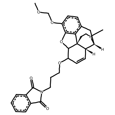 COCOc1ccc2c3c1OC1C(OCCCN4C(=O)c5ccccc5C4=O)C=C[C@H]4[C@@H](C2)N(C)CC[C@]314